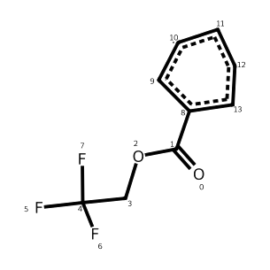 O=C(OCC(F)(F)F)c1c[c]ccc1